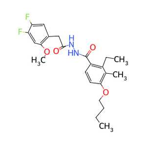 CCCCOc1ccc(C(=O)NNC(=O)Cc2cc(F)c(F)cc2OC)c(CC)c1C